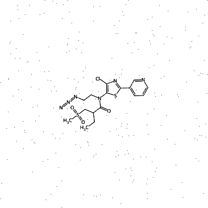 CCC(CS(C)(=O)=O)C(=O)N(CCN=[N+]=[N-])c1sc(-c2cccnc2)nc1Cl